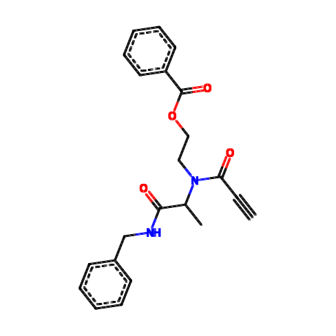 C#CC(=O)N(CCOC(=O)c1ccccc1)C(C)C(=O)NCc1ccccc1